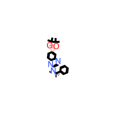 C[C@H](c1ccccc1)N(C)c1cnc2cc(B3OC(C)(C)C(C)(C)O3)ccc2n1